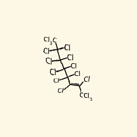 Cl/C(=C(/Cl)C(Cl)(Cl)C(Cl)(Cl)C(Cl)(Cl)C(Cl)(Cl)C(Cl)(Cl)Cl)C(Cl)(Cl)Cl